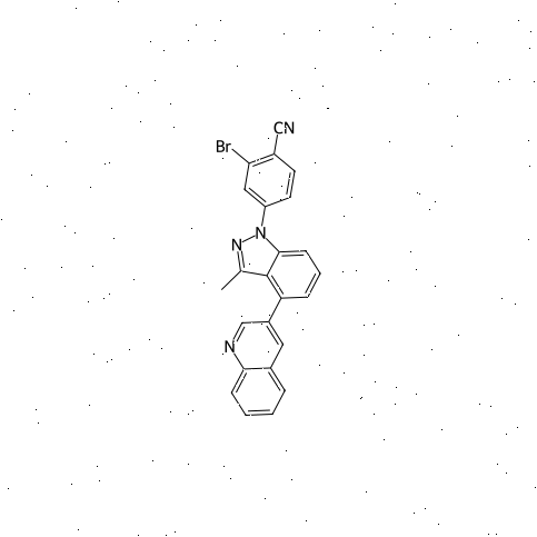 Cc1nn(-c2ccc(C#N)c(Br)c2)c2cccc(-c3cnc4ccccc4c3)c12